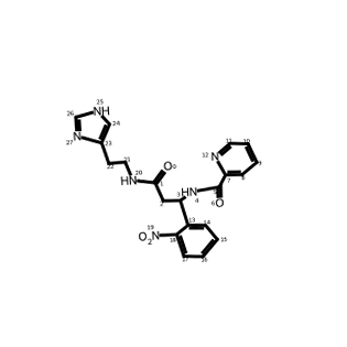 O=C(CC(NC(=O)c1ccccn1)c1ccccc1[N+](=O)[O-])NCCc1c[nH]cn1